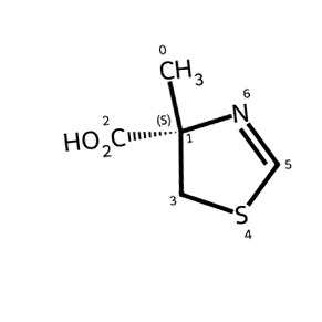 C[C@]1(C(=O)O)CSC=N1